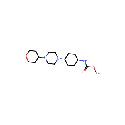 CC(C)(C)OC(=O)N[C@H]1CC[C@H](N2CCN(C3CCOCC3)CC2)CC1